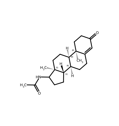 CC(=O)NC1CC[C@H]2[C@@H]3CCC4=CC(=O)CC[C@]4(C)[C@@H]3CC[C@]12C